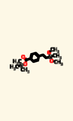 CO[Si](C)(CCc1ccc(C(=O)O[Si](C)(C)C)cc1)OC